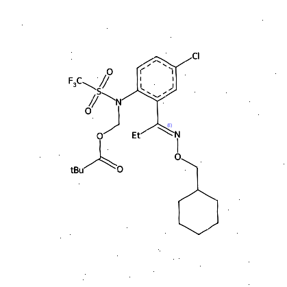 CC/C(=N\OCC1CCCCC1)c1cc(Cl)ccc1N(COC(=O)C(C)(C)C)S(=O)(=O)C(F)(F)F